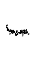 N=C(N)NC(=O)OCc1cccc(-c2cnc(N3CC(OCCF)C3)c(F)c2)c1F